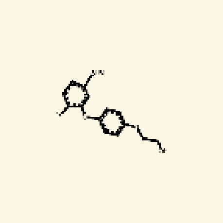 CCc1ccc(C=O)cc1Oc1ccc(OCCO)cc1